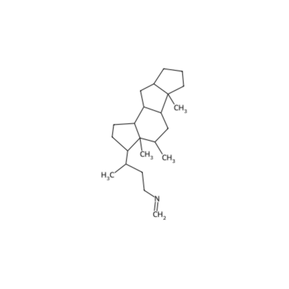 C=NCCC(C)C1CCC2C3CC4CCCC4(C)C3CC(C)C12C